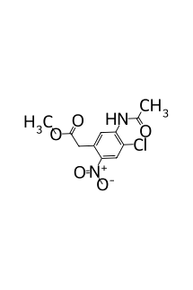 COC(=O)Cc1cc(NC(C)=O)c(Cl)cc1[N+](=O)[O-]